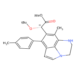 COC(=O)[C@@H](OC(C)(C)C)c1c(C)c2c3c(ccn3CCN2)c1-c1ccc(C)cc1